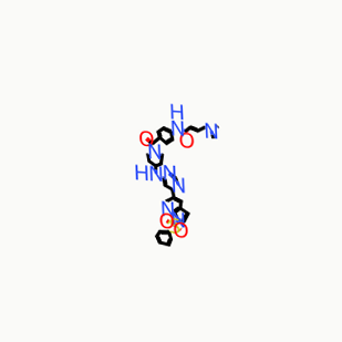 CN(C)C/C=C/C(=O)Nc1ccc(C(=O)N2CCC(Nc3cc(-c4cnc5c(ccn5S(=O)(=O)c5ccccc5)c4)ncn3)CC2)cc1